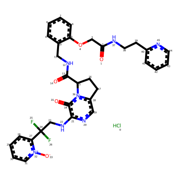 Cl.O=C(COc1ccccc1CNC(=O)C1CCc2cnc(NCC(F)(F)c3cccc[n+]3[O-])c(=O)n21)NCCc1ccccn1